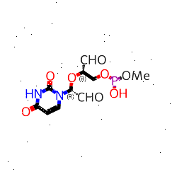 COP(O)OC[C@H](C=O)O[C@H](C=O)n1ccc(=O)[nH]c1=O